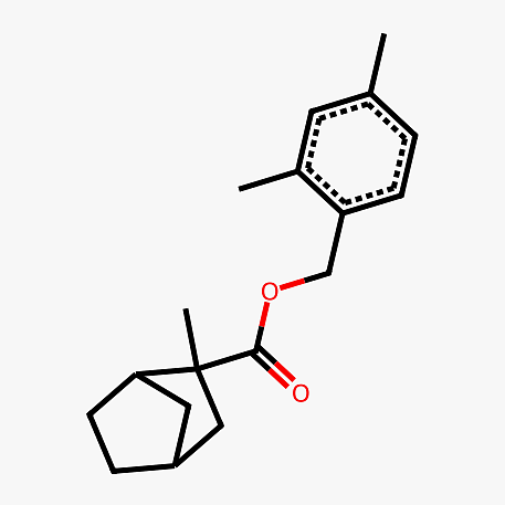 Cc1ccc(COC(=O)C2(C)CC3CCC2C3)c(C)c1